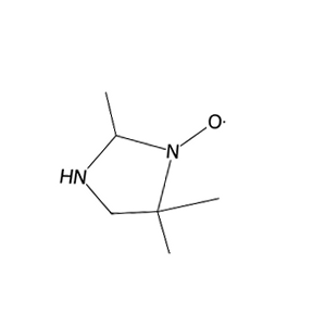 CC1NCC(C)(C)N1[O]